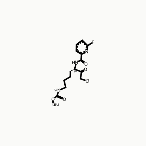 CC(C)(C)OC(=O)NCCCC[C@H](NC(=O)c1cccc(F)n1)C(=O)CCl